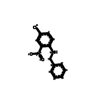 O=[N+]([O-])c1cc(Cl)ccc1NCc1ccccc1